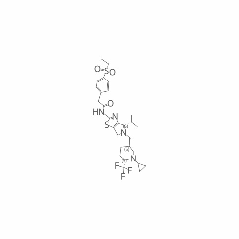 CCS(=O)(=O)c1ccc(CC(=O)Nc2nc3c(s2)CN(C[C@@H]2CC[C@@H](C(F)(F)F)N(C4CC4)C2)[C@H]3C(C)C)cc1